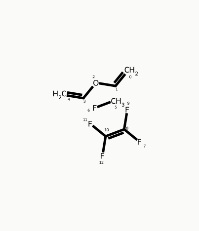 C=COC=C.CF.FC(F)=C(F)F